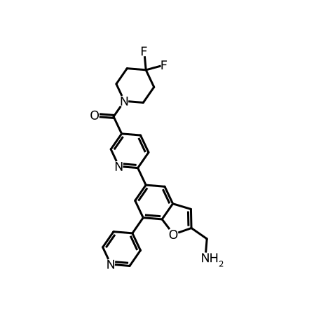 NCc1cc2cc(-c3ccc(C(=O)N4CCC(F)(F)CC4)cn3)cc(-c3ccncc3)c2o1